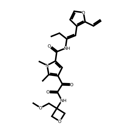 C=Cc1occc1/C=C(\CC)NC(=O)c1cc(C(=O)C(=O)NC2(COC)COC2)c(C)n1C